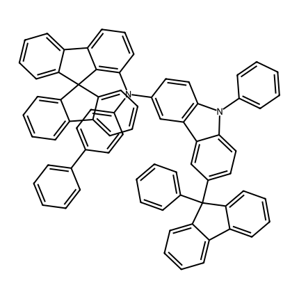 c1ccc(-c2ccc(N(c3ccc4c(c3)c3cc(C5(c6ccccc6)c6ccccc6-c6ccccc65)ccc3n4-c3ccccc3)c3cccc4c3C3(c5ccccc5-c5ccccc53)c3ccccc3-4)cc2)cc1